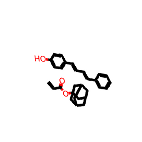 C=CC(=O)OC12CC3CC(CC(C3)C1)C2.Oc1ccc(C=CC=Cc2ccccc2)cc1